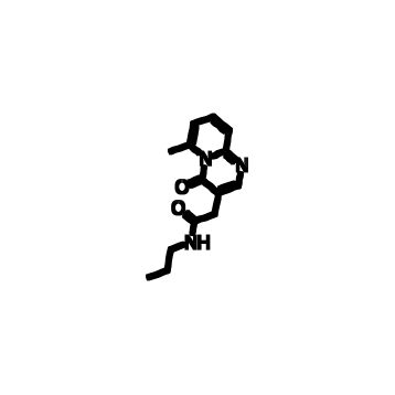 CCCNC(=O)Cc1cnc2cccc(C)n2c1=O